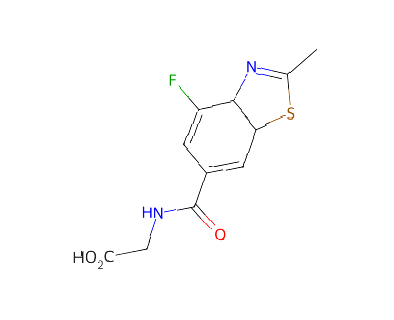 CC1=NC2C(F)=CC(C(=O)NCC(=O)O)=CC2S1